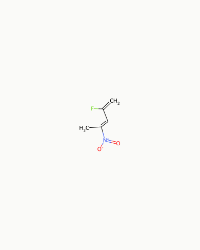 C=C(F)/C=C(\C)[N+](=O)[O-]